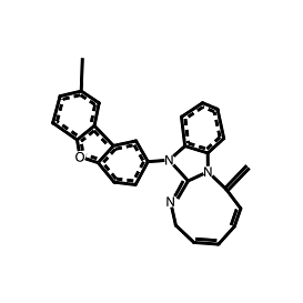 C=C1/C=C\C=C/C/N=C2\N1c1ccccc1N2c1ccc2oc3ccc(C)cc3c2c1